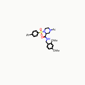 COc1ccc(CNC(=O)C2CN(C(C)=O)CCN2S(=O)(=O)c2ccc(C(C)C)cc2)c(OC)c1